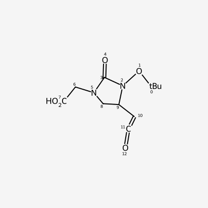 CC(C)(C)ON1C(=O)N(CC(=O)O)CC1C=C=O